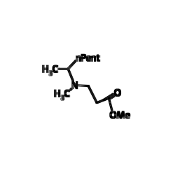 CCCCCC(C)N(C)CCC(=O)OC